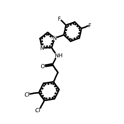 O=C(Cc1ccc(Cl)c(Cl)c1)Nc1nccn1-c1ccc(F)cc1F